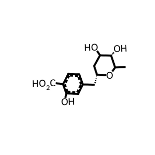 CC1O[C@H](Cc2ccc(C(=O)O)c(O)c2)CC(O)[C@@H]1O